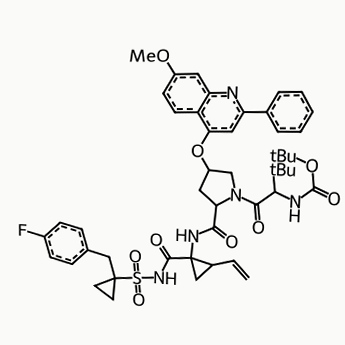 C=CC1CC1(NC(=O)C1CC(Oc2cc(-c3ccccc3)nc3cc(OC)ccc23)CN1C(=O)C(NC(=O)OC(C)(C)C)C(C)(C)C)C(=O)NS(=O)(=O)C1(Cc2ccc(F)cc2)CC1